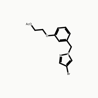 CC(=O)OCCOc1cccc(Cn2cc(Br)cn2)c1